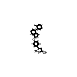 Cc1ccccc1-c1cccc2c1CC[C@H]2Oc1ccc(C2CC(O)=N[S+]2[O-])cc1